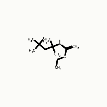 C=C(NC(C)(C)CC(C)(C)C)OCC